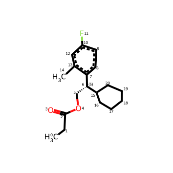 CCC(=O)OC[C@H](c1ccc(F)cc1C)C1CCCCC1